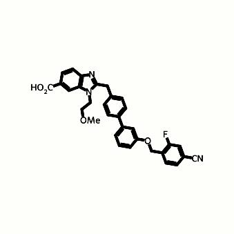 COCCn1c(Cc2ccc(-c3cccc(OCc4ccc(C#N)cc4F)c3)cc2)nc2ccc(C(=O)O)cc21